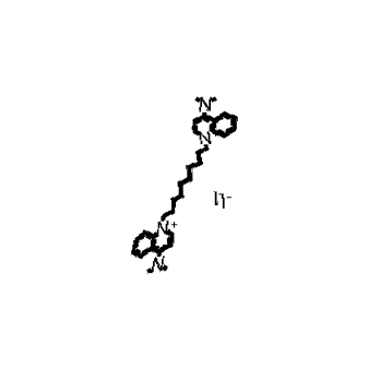 CN(C)c1cc[n+](CCCCCCCCCC[n+]2ccc(N(C)C)c3ccccc32)c2ccccc12.[I-].[I-]